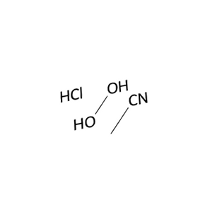 CC#N.Cl.OO